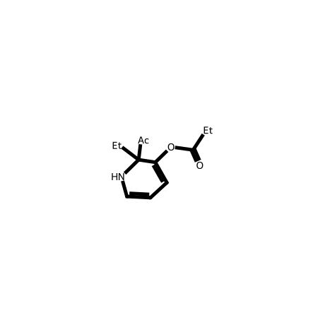 CCC(=O)OC1=CC=CNC1(CC)C(C)=O